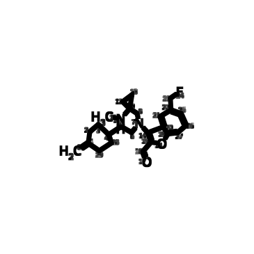 C=C1CCC(CCN(CC2(NC)CC2)c2c(C=O)oc3c2=CC(CF)=C=CC=3)CC1